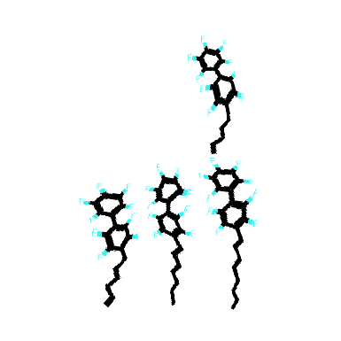 CCCCCCCCc1c(F)c(F)c(-c2c(F)c(F)c(F)c(F)c2F)c(F)c1F.CCCCCCCc1c(F)c(F)c(-c2c(F)c(F)c(F)c(F)c2F)c(F)c1F.CCCCCCc1c(F)c(F)c(-c2c(F)c(F)c(F)c(F)c2F)c(F)c1F.CCCCCc1c(F)c(F)c(-c2c(F)c(F)c(F)c(F)c2F)c(F)c1F